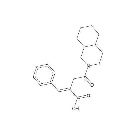 O=C(O)/C(=C/c1ccccc1)CC(=O)N1CCC2CCCCC2C1